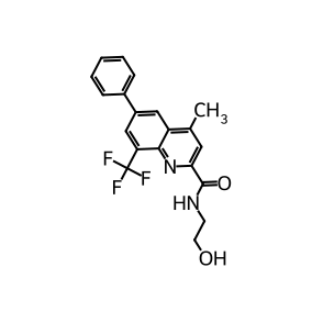 Cc1cc(C(=O)NCCO)nc2c(C(F)(F)F)cc(-c3ccccc3)cc12